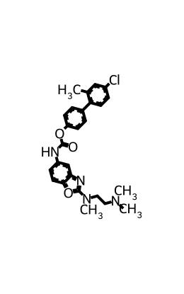 Cc1cc(Cl)ccc1-c1ccc(OC(=O)Nc2ccc3oc(N(C)CCN(C)C)nc3c2)cc1